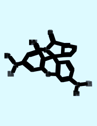 CCN(CC)c1ccc2c(c1)Oc1cc(N(CC)CC)ccc1C21c2ccccc2C(=O)N1C=N